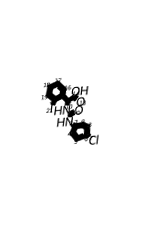 O=C(Nc1ccc(Cl)cc1)NC(C(=O)O)c1ccccc1I